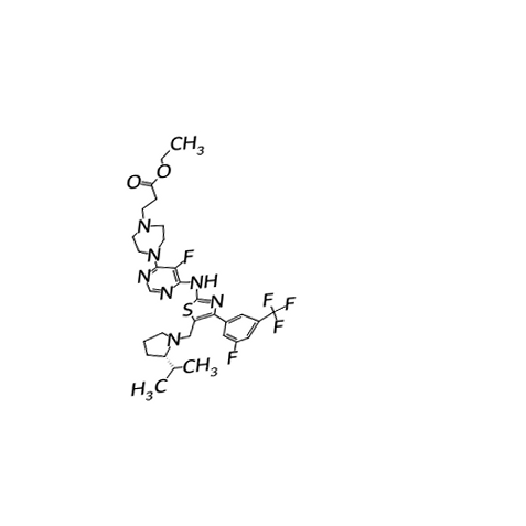 CCOC(=O)CCN1CCN(c2ncnc(Nc3nc(-c4cc(F)cc(C(F)(F)F)c4)c(CN4CCC[C@H]4C(C)C)s3)c2F)CC1